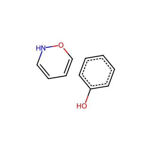 C1=CNOC=C1.Oc1ccccc1